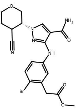 COC(=O)Cc1cc(Nc2nn([C@H]3COCCC3C#N)cc2C(N)=O)ccc1Br